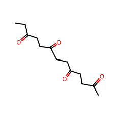 CCC(=O)CCC(=O)CCC(=O)CCC(C)=O